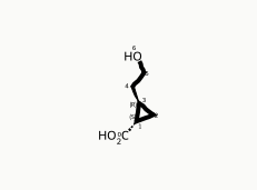 O=C(O)[C@H]1C[C@@H]1CCO